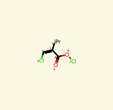 CC(C)C(=CCl)C(=O)OCl